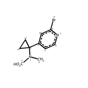 CN(C(=O)O)C1(c2ccnc(Br)c2)CC1